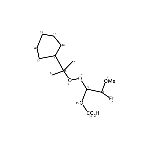 CCC(OC)C(OOC(C)(C)C1CCCCC1)OC(=O)O